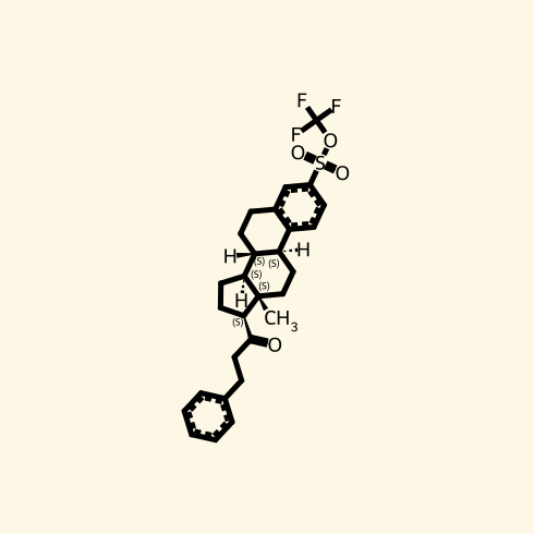 C[C@]12CC[C@@H]3c4ccc(S(=O)(=O)OC(F)(F)F)cc4CC[C@H]3[C@@H]1CC[C@@H]2C(=O)CCc1ccccc1